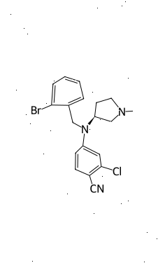 CN1CC[C@H](N(Cc2ccccc2Br)c2ccc(C#N)c(Cl)c2)C1